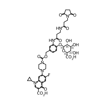 O=C(CCN1C(=O)CCC1=O)NCCC(=O)Nc1cc(COC(=O)N2CCN(c3cc4c(cc3F)c(=O)c(C(=O)O)cn4C3CC3)CC2)ccc1O[C@@H]1O[C@H](C(=O)O)[C@@H](O)[C@H](O)[C@H]1O